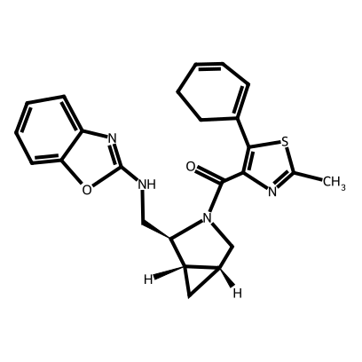 Cc1nc(C(=O)N2C[C@@H]3C[C@@H]3[C@H]2CNc2nc3ccccc3o2)c(C2=CC=CCC2)s1